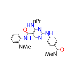 CCCNc1nc(Nc2ccc(C(=O)NC)cc2)ncc1C(=O)Nc1ccccc1NC